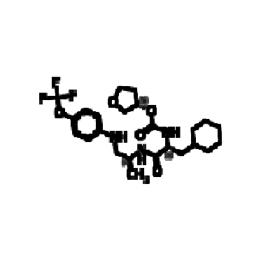 C[C@@H](CNc1ccc(OC(F)(F)F)cc1)NC(=O)[C@H](CC1CCCCC1)NC(=O)O[C@H]1CCOC1